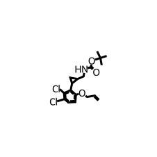 C=CCOc1ccc(Cl)c(Cl)c1C1CC1CNC(=O)OC(C)(C)C